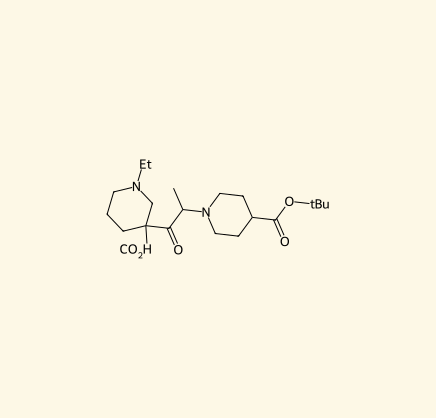 CCN1CCCC(C(=O)O)(C(=O)C(C)N2CCC(C(=O)OC(C)(C)C)CC2)C1